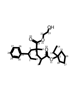 CCC(CC(C)(CC(C)C(=O)OC1(CC)CCCC1)C(=O)OCCO)c1ccccc1